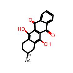 CC(=O)[C@H]1CCc2c(O)c3c(c(O)c2C1)C(=O)c1ccccc1C3=O